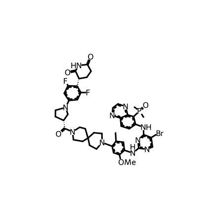 COc1cc(N2CCC3(CCN(C(=O)[C@@H]4CCN(c5cc(F)c([C@H]6CCC(=O)NC6=O)c(F)c5)C4)CC3)CC2)c(C)cc1Nc1ncc(Br)c(Nc2ccc3nccnc3c2P(C)(C)=O)n1